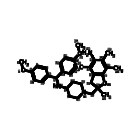 COc1ccc(C(NC2CCN(CC3(C)Cc4c(C)c(N)c(C)c(C)c4O3)CC2)c2ccc(OC)cc2)cc1